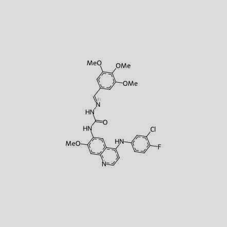 COc1cc2nccc(Nc3ccc(F)c(Cl)c3)c2cc1NC(=O)N/N=C/c1cc(OC)c(OC)c(OC)c1